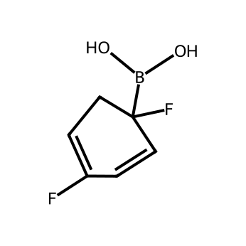 OB(O)C1(F)C=CC(F)=CC1